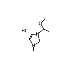 COC(C)N1C=CN(C)C1.Cl